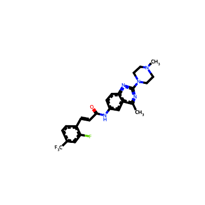 Cc1nc(N2CCN(C)CC2)nc2ccc(NC(=O)/C=C/c3ccc(C(F)(F)F)cc3F)cc12